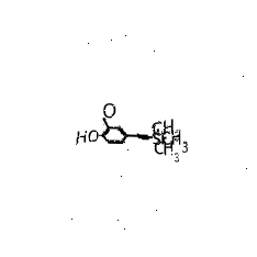 C[Si](C)(C)C#Cc1ccc(O)c(C=O)c1